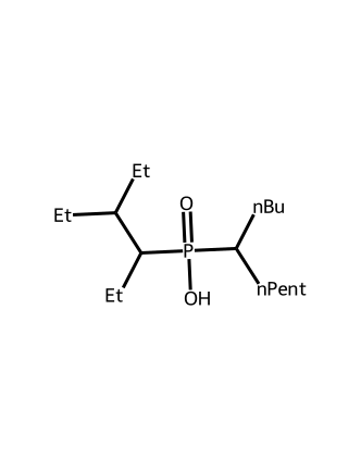 CCCCCC(CCCC)P(=O)(O)C(CC)C(CC)CC